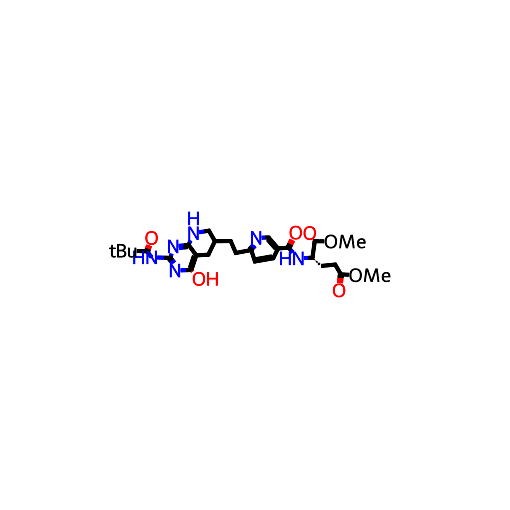 COC(=O)CC[C@H](NC(=O)c1ccc(CCC2CNc3nc(NC(=O)C(C)(C)C)nc(O)c3C2)nc1)C(=O)OC